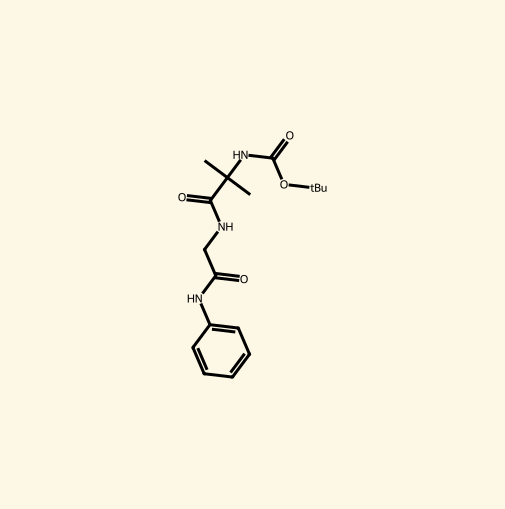 CC(C)(C)OC(=O)NC(C)(C)C(=O)NCC(=O)Nc1ccccc1